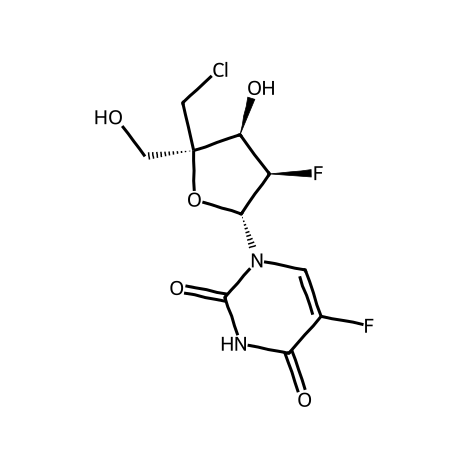 O=c1[nH]c(=O)n([C@@H]2O[C@@](CO)(CCl)[C@@H](O)[C@H]2F)cc1F